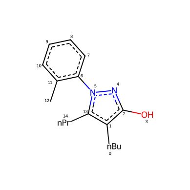 CCCCc1c(O)nn(-c2ccccc2C)c1CCC